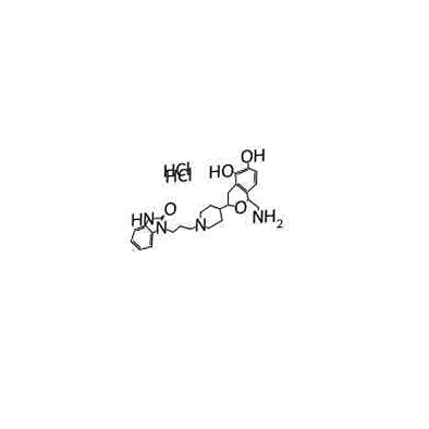 Cl.Cl.NCC1OC(C2CCN(CCCn3c(=O)[nH]c4ccccc43)CC2)Cc2c1ccc(O)c2O